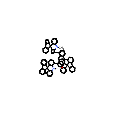 CN1c2ccccc2C2(c3ccccc3-c3ccccc32)c2cccc(-c3cccc4c(-c5cccc6c5C(c5ccccc5)(c5ccccc5)c5ccccc5-6)c5cccc(-c6cccc7c6N(C)c6ccccc6C76c7ccccc7-c7ccccc76)c5cc34)c21